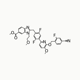 COCCn1c(Cc2cc(F)c(-c3ccc(OC)c(OCc4ccc(C#N)cc4F)n3)cc2F)nc2ccc(C(=O)OC)cc21